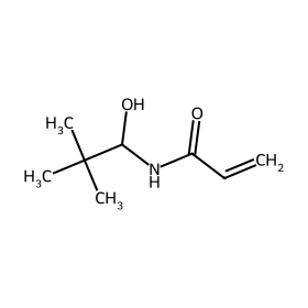 C=CC(=O)NC(O)C(C)(C)C